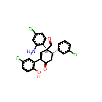 Nc1cc(Cl)ccc1[C@@]1(C=O)C=C(c2cc(F)ccc2O)C(=O)C[C@H]1c1cccc(Cl)c1